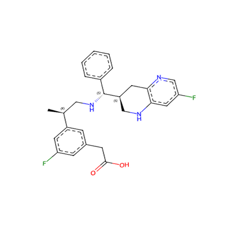 C[C@@H](CN[C@H](c1ccccc1)[C@@H]1CNc2cc(F)cnc2C1)c1cc(F)cc(CC(=O)O)c1